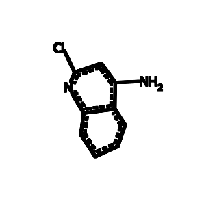 Nc1cc(Cl)nc2ccccc12